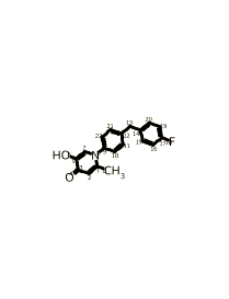 Cc1cc(=O)c(O)cn1-c1ccc(Cc2ccc(F)cc2)cc1